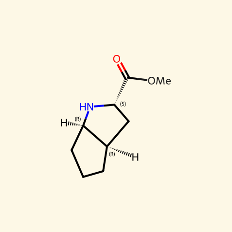 COC(=O)[C@@H]1C[C@H]2CCC[C@H]2N1